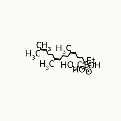 CCC(CCC=C(C)CCC=C(C)CCC=C(C)C)(C(=O)O)P(=O)(O)O